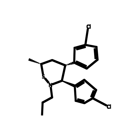 CCCN1S[C@H](C)C[C@H](c2cccc(Cl)c2)[C@H]1c1ccc(Cl)cc1